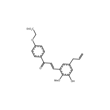 C=CCc1cc(O)c(OC)c(C=CC(=O)c2ccc(OCC(=O)OCC)cc2)c1